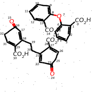 O=C(O)c1ccccc1Oc1ccccc1C(=O)O.O=C1C=C(CCC2=CC(=O)CC=C2C(=O)O)C(C(=O)O)=CC1